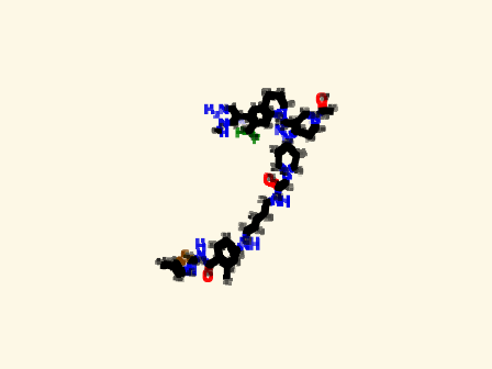 CN/C=C(\CN)c1cc2c(cc1C(F)F)N(c1nn(C3CCN(CC(=O)NCCCCCNc4ccc(C(=O)Nc5ncc(C)s5)c(C)c4)CC3)c3c1CN(C(C)=O)CC3)CCC2